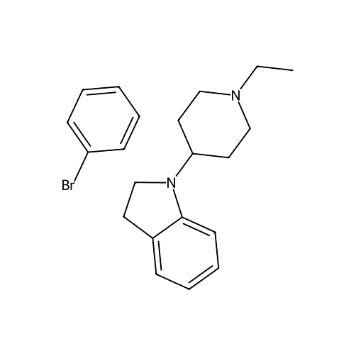 Brc1ccccc1.CCN1CCC(N2CCc3ccccc32)CC1